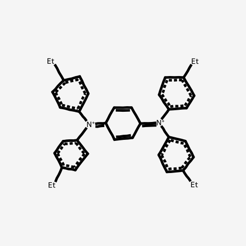 CCc1ccc([N+](=C2C=CC(=[N+](c3ccc(CC)cc3)c3ccc(CC)cc3)C=C2)c2ccc(CC)cc2)cc1